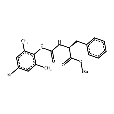 Cc1cc(Br)cc(C)c1NC(=O)N[C@@H](Cc1ccccc1)C(=O)OC(C)(C)C